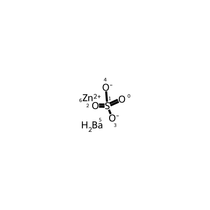 O=S(=O)([O-])[O-].[BaH2].[Zn+2]